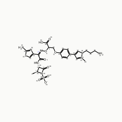 C[C@H]1[C@H](NC(=O)/C(=N\OC(COc2ccc(-c3cn(CCCN)[n+](C)c3)cc2)C(=O)O)c2csc(N)n2)C(=O)N1S(=O)(=O)[O-]